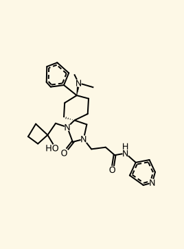 CN(C)[C@]1(c2ccccc2)CC[C@]2(CC1)CN(CCC(=O)Nc1ccncc1)C(=O)N2CC1(O)CCC1